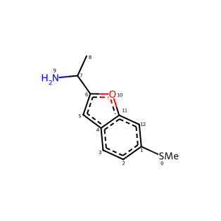 CSc1ccc2cc(C(C)N)oc2c1